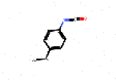 [CH3][Po][c]1ccc(N=C=O)cc1